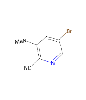 CNc1cc(Br)cnc1C#N